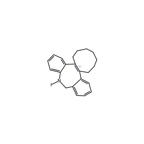 IN1Cc2ccccc2/C2=C(/CCCCCCC2)c2ccccc21